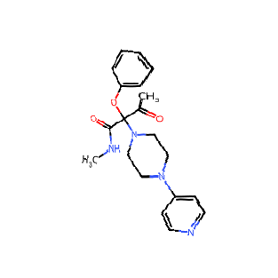 CNC(=O)C(Oc1ccccc1)(C(C)=O)N1CCN(c2ccncc2)CC1